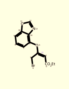 CCOC(=O)/C=C(\CBr)Oc1cccc2ocnc12